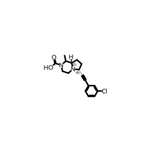 CC1[C@@H]2CC[C@H](C#Cc3cccc(Cl)c3)N2CCN1C(=O)O